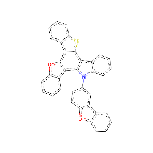 c1ccc2c(c1)oc1ccc(-n3c4ccccc4c4c5sc6ccccc6c5c5oc6ccccc6c5c43)cc12